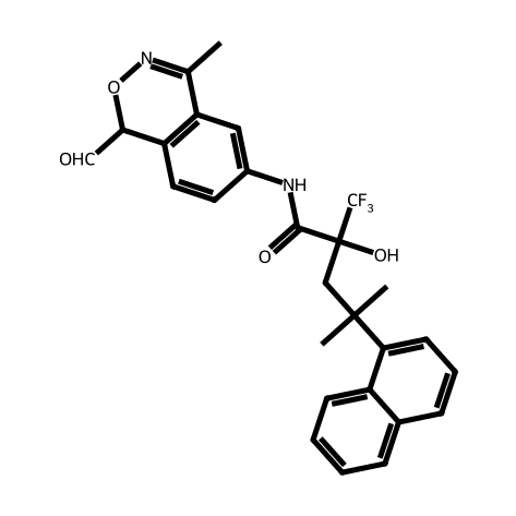 CC1=NOC(C=O)c2ccc(NC(=O)C(O)(CC(C)(C)c3cccc4ccccc34)C(F)(F)F)cc21